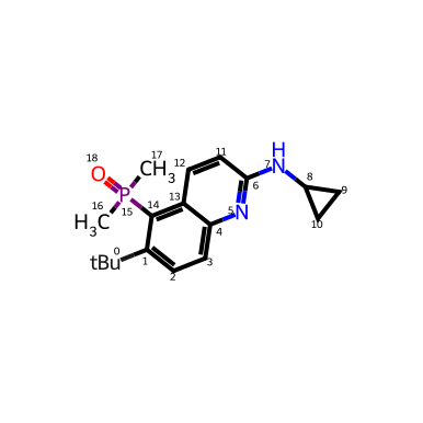 CC(C)(C)c1ccc2nc(NC3CC3)ccc2c1P(C)(C)=O